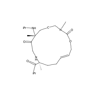 CC(C)N[C@]1(C)CCCN(C)C(=O)OC/C=C/CC[C@@](C)(C(=O)C(C)C)NCC1=O